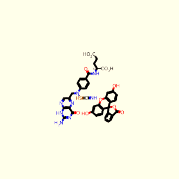 N=C=[SH]N(Cc1cnc2[nH]c(N)nc(=O)c2n1)c1ccc(C(=O)N[C@@H](CCC(=O)O)C(=O)O)cc1.O=C1OC2(c3ccc(O)cc3Oc3cc(O)ccc32)c2ccccc21